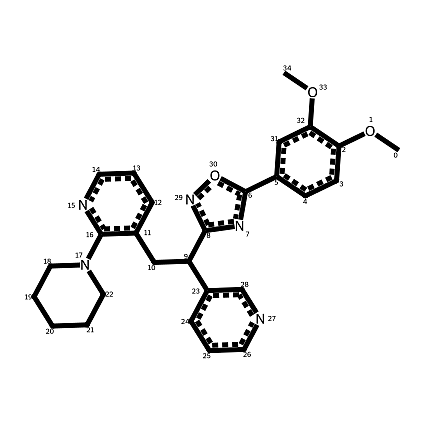 COc1ccc(-c2nc(C(Cc3cccnc3N3CCCCC3)c3cccnc3)no2)cc1OC